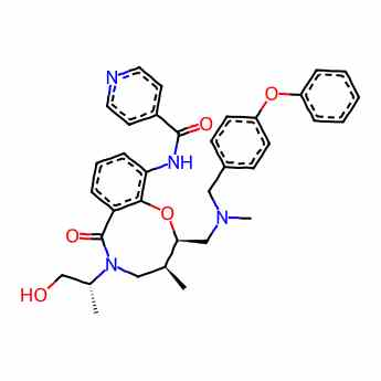 C[C@H](CO)N1C[C@H](C)[C@H](CN(C)Cc2ccc(Oc3ccccc3)cc2)Oc2c(NC(=O)c3ccncc3)cccc2C1=O